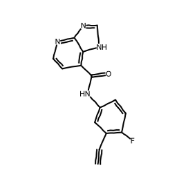 C#Cc1cc(NC(=O)c2ccnc3nc[nH]c23)ccc1F